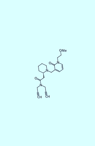 C#CCN(CC#C)C(=O)C[C@H]1CCCCN1Cc1cccn(CCOC)c1=O